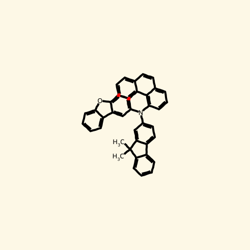 CC1(C)c2ccccc2-c2ccc(N(c3ccc4oc5ccccc5c4c3)c3cccc4ccc5ccccc5c34)cc21